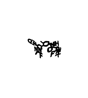 Cc1ccc(NC(=O)c2cnn(C(C)(C)C)c2F)cc1-c1cc(N2CCOCC2)c2nc(C)c(F)n2c1